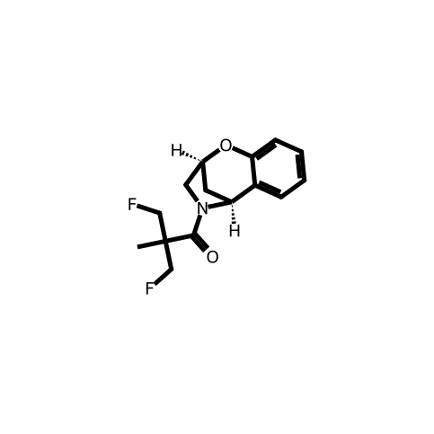 CC(CF)(CF)C(=O)N1C[C@@H]2C[C@H]1c1ccccc1O2